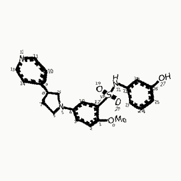 COc1ccc(N2CCC(c3ccncc3)C2)cc1S(=O)(=O)Nc1cccc(O)c1